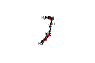 Nc1nc2cc(-c3nn(CCCCNC(=O)CCOCCOCCOCCNC(=O)c4cnc(N5CCN(c6ncc(-n7cc(CO)nn7)cn6)CC5)nc4)c4ncnc(N)c34)ccc2o1